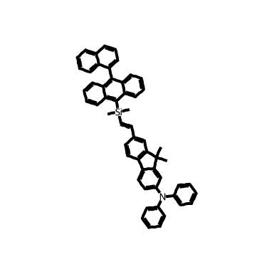 CC1(C)c2cc(/C=C/[Si](C)(C)c3c4ccccc4c(-c4cccc5ccccc45)c4ccccc34)ccc2-c2ccc(N(c3ccccc3)c3ccccc3)cc21